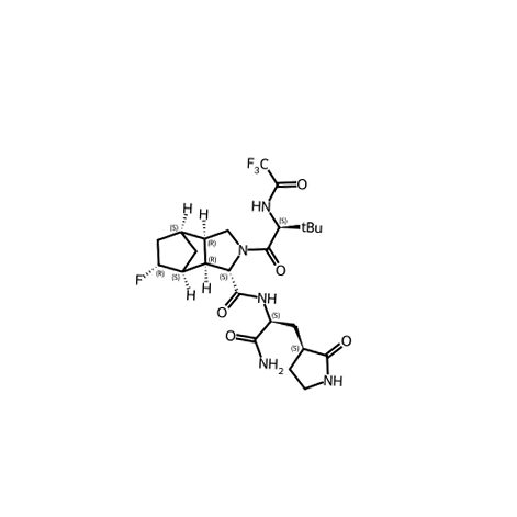 CC(C)(C)[C@H](NC(=O)C(F)(F)F)C(=O)N1C[C@@H]2[C@H]3C[C@@H]([C@@H]2[C@H]1C(=O)N[C@@H](C[C@@H]1CCNC1=O)C(N)=O)[C@H](F)C3